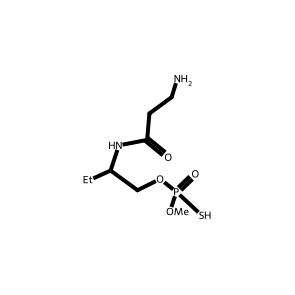 CCC(COP(=O)(S)OC)NC(=O)CCN